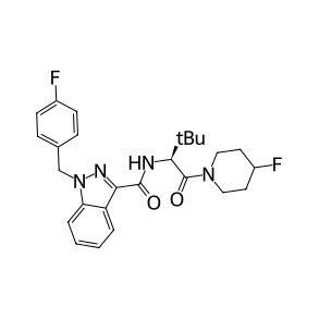 CC(C)(C)[C@H](NC(=O)c1nn(Cc2ccc(F)cc2)c2ccccc12)C(=O)N1CCC(F)CC1